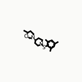 Cc1cc(C)c(SN2CCC(N3CCC(C)OC3)CC2)c(C)c1